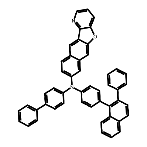 c1ccc(-c2ccc(N(c3ccc(-c4c(-c5ccccc5)ccc5ccccc45)cc3)c3ccc4cc5c(cc4c3)oc3cccnc35)cc2)cc1